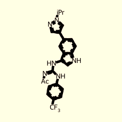 CC(=O)/N=C(\Nc1ccc(C(F)(F)F)cc1)Nc1c[nH]c2ccc(-c3cnn(C(C)C)c3)cc12